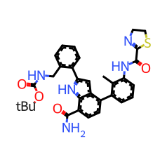 Cc1c(NC(=O)C2=NCCS2)cccc1-c1ccc(C(N)=O)c2[nH]c(-c3ccccc3CNC(=O)OC(C)(C)C)cc12